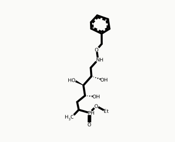 CCO[PH](=O)C(C)C[C@@H](O)[C@@H](O)[C@@H](O)CNOCc1ccccc1